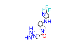 N=C(N)N1CCC(C(=O)N2CCc3c(cccc3Nc3ccc(C(F)(F)F)nc3)C2)C1